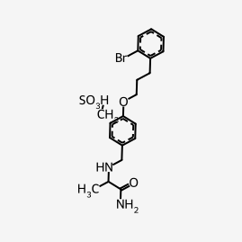 CC(NCc1ccc(OCCCc2ccccc2Br)cc1)C(N)=O.CS(=O)(=O)O